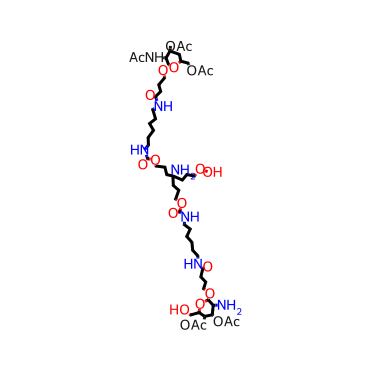 CC(=O)NC1C(OC(C)=O)CC(COC(C)=O)OC1OCCCC(=O)NCCCCCCNC(=O)OCCCC(N)(CCCOO)CCCOC(=O)NCCCCCCNC(=O)CCCOC1OC(CO)C(OC(C)=O)C(OC(C)=O)C1N